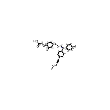 CSCC#Cc1ccc(/C(=C\COc2ccc(OCC(=O)O)c(C)c2)c2ccc(F)cc2)cc1